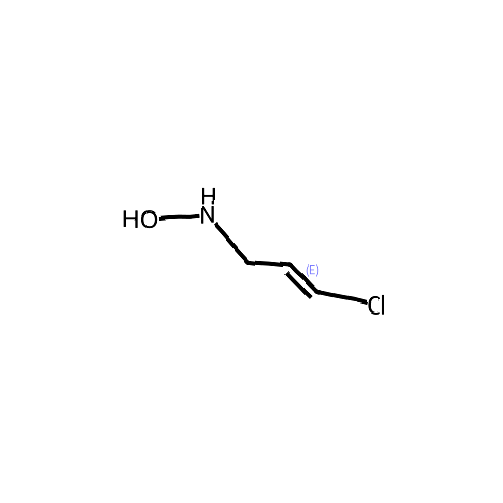 ONC/C=C/Cl